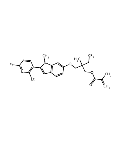 C=C(C)C(=O)OCC(C)(COc1ccc2cc(-c3ccc(CC)nc3CC)n(C)c2c1)CC(F)(F)F